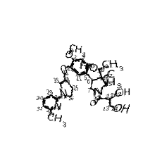 COc1ccc([C@@H]2CN(C(=O)C(O)CO)C[C@@]2(C)C(C)O)cc1OC1CCN(c2cccc(C)n2)C1